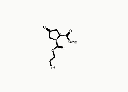 COC(=O)[C@@H]1CC(=O)CN1C(=O)OCCS